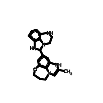 CC1=CN2CCCOc3cc(C4Nc5cccc6c5N4CCN6)cc(c32)N1